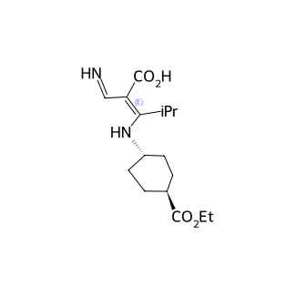 CCOC(=O)[C@H]1CC[C@H](N/C(=C(\C=N)C(=O)O)C(C)C)CC1